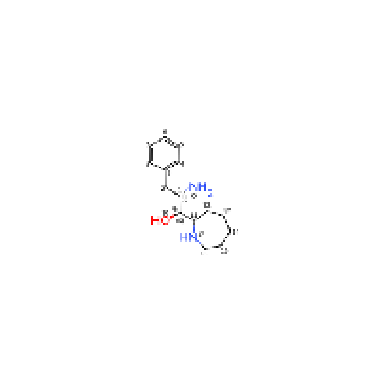 N[C@@H](Cc1ccccc1)[C@H](O)C1CCCCCN1